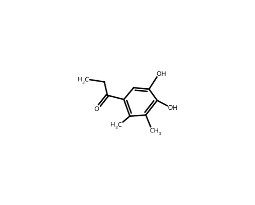 CCC(=O)c1cc(O)c(O)c(C)c1C